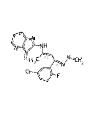 C=N/N=C(\C=C(/C)Nc1nc2cccnc2[nH]1)c1cc(Cl)ccc1F